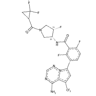 Nc1ncnn2c(-c3ccc(F)c(C(=O)N[C@@H]4CN(C(=O)C5CC5(F)F)C[C@@H]4F)c3F)cc(C(F)(F)F)c12